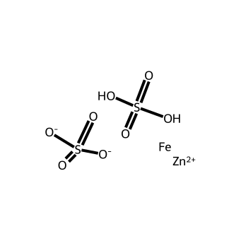 O=S(=O)(O)O.O=S(=O)([O-])[O-].[Fe].[Zn+2]